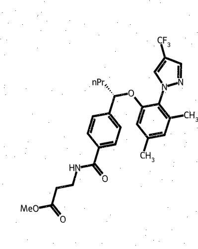 CCC[C@H](Oc1cc(C)cc(C)c1-n1cc(C(F)(F)F)cn1)c1ccc(C(=O)NCCC(=O)OC)cc1